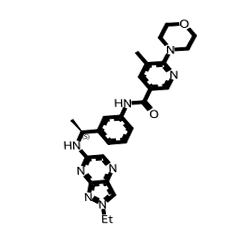 CCn1cc2ncc(N[C@@H](C)c3cccc(NC(=O)c4cnc(N5CCOCC5)c(C)c4)c3)nc2n1